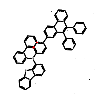 c1ccc(-c2ccccc2N(c2ccc(-c3ccc4c(c3)c(-c3ccccc3)c(-c3ccccc3)c3ccccc34)cc2)c2cccc3c2sc2ccccc23)cc1